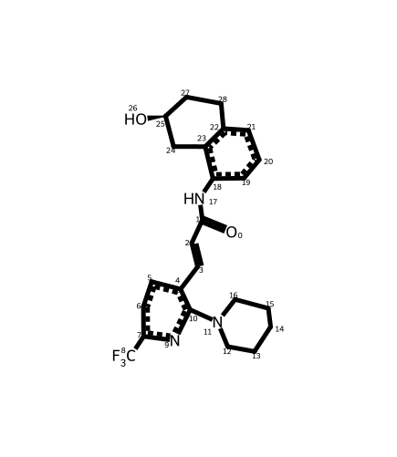 O=C(C=Cc1ccc(C(F)(F)F)nc1N1CCCCC1)Nc1cccc2c1C[C@@H](O)CC2